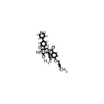 CC#CCOc1ccc2c(c1)CN(CC1(c3ccc(-c4ccncc4)cc3)C(=O)NC(=O)N1CC#CC)C2=O